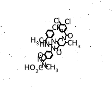 CC1Cc2c(nc(N[C@@H](C)c3ccc(C(F)(F)F)cc3)n(-c3ccc4c(N(C)C(=O)O)noc4c3)c2=O)CN1C(=O)c1ccc(Cl)c(Cl)c1